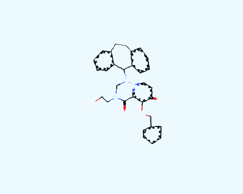 O=C1c2c(OCc3ccccc3)c(=O)ccn2N(C2c3ccccc3CCc3ccccc32)CN1CCO